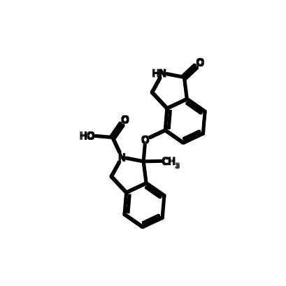 CC1(Oc2cccc3c2CNC3=O)c2ccccc2CN1C(=O)O